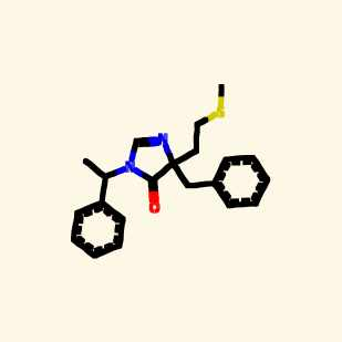 CSCCC1(Cc2ccccc2)N=CN(C(C)c2ccccc2)C1=O